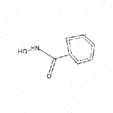 O=C(NO)c1c[c]ccc1